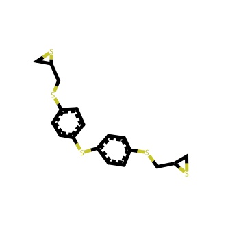 c1cc(Sc2ccc(SCC3CS3)cc2)ccc1SCC1CS1